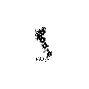 CN(C[C@H]1CCN(C(=O)O)C1)C1CCN(c2ccc3c(c2)n(C)c(=O)n3C2CCC(=O)NC2=O)CC1